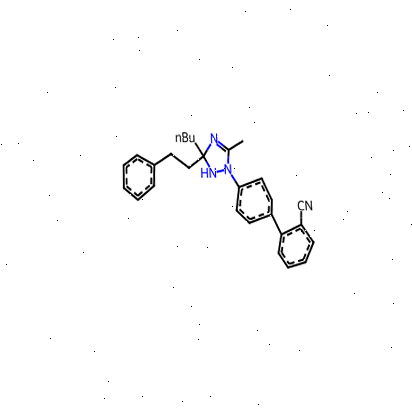 CCCCC1(CCc2ccccc2)N=C(C)N(c2ccc(-c3ccccc3C#N)cc2)N1